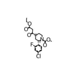 CCOC(=O)CC(=O)[C@H]1CCN(C(=O)OC)[C@H](c2ccc(Cl)cc2F)C1